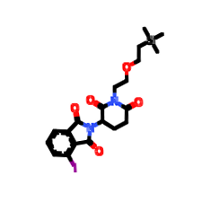 C[Si](C)(C)CCOCCN1C(=O)CCC(N2C(=O)c3cccc(I)c3C2=O)C1=O